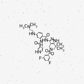 CN(C)CCNc1ccc(C(=O)Nc2n[nH]c3c2CN(S(=O)(=O)c2cc(F)cc(F)c2)CC3(C)C)c(NC(=O)c2cc[nH]c2)c1